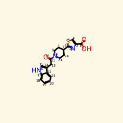 O=C(O)c1csc(C2CCN(C(=O)Cc3c[nH]c4ccccc34)CC2)n1